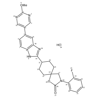 COc1ncc(-c2ccc3[nH]c(C4CCC5(CC4)CN(c4ccccc4F)C(=O)O5)nc3c2)cn1.Cl